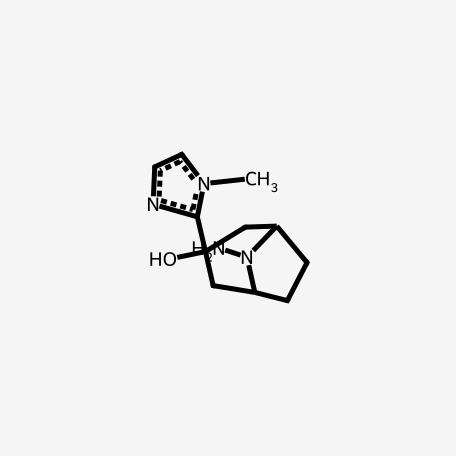 Cn1ccnc1C1(O)CC2CCC(C1)N2N